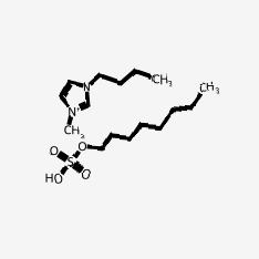 CCCCCCCCOS(=O)(=O)O.CCCCn1cc[n+](C)c1